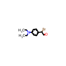 CCN(CC)c1ccc(C(Br)C=O)cc1